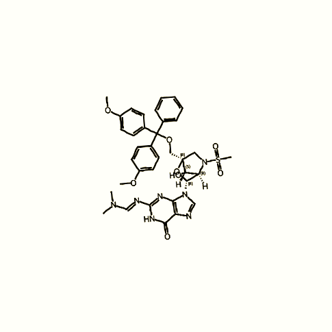 COc1ccc(C(OC[C@@]23CN(S(C)(=O)=O)[C@@H]([C@H](n4cnc5c(=O)[nH]c(N=CN(C)C)nc54)O2)[C@@H]3O)(c2ccccc2)c2ccc(OC)cc2)cc1